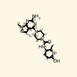 Cc1nc(O)ccc1NC(=O)N1CCN(c2nc(N)nc3c2cnn3C)[C@@H](C)C1